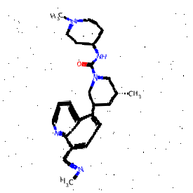 C/N=C/c1ccc(C2C[C@@H](C)CN(C(=O)NC3CCN(C)CC3)C2)c2cccnc12